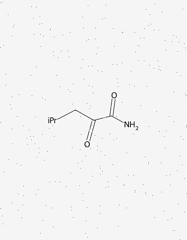 CC(C)CC(=O)C(N)=O